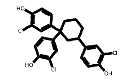 Oc1ccc(C2CCCC(c3ccc(O)c(Cl)c3)(c3ccc(O)c(Cl)c3)C2)cc1Cl